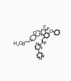 COCCN1CCC2(CC1)CN(c1c(/C=C(\F)c3nccc(-c4ccnnc4)n3)ccc(Oc3ccccc3)c1C(F)(F)F)CCO2